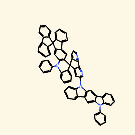 c1ccc(N2c3ccccc3C3(c4cc5c(cc42)C2(c4ccccc4-c4ccccc42)c2ccccc2-5)c2cccnc2-c2ncc(-n4c5ccccc5c5cc6c(cc54)c4ccccc4n6-c4ccccc4)cc23)cc1